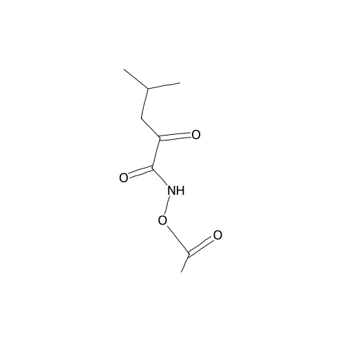 CC(=O)ONC(=O)C(=O)CC(C)C